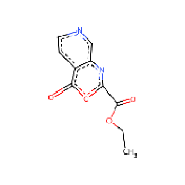 CCOC(=O)c1nc2cnccc2c(=O)o1